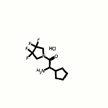 Cl.NC(C(=O)N1CC(F)(F)C(F)(F)C1)C1CCCC1